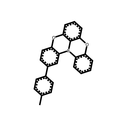 Cc1ccc(-c2ccc3c(c2)B2c4ccccc4Oc4cccc(c42)O3)cc1